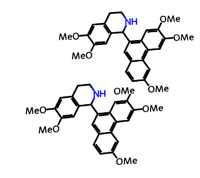 COc1ccc2cc(C3NCCc4cc(OC)c(OC)cc43)c3cc(OC)c(OC)cc3c2c1.COc1ccc2cc(C3NCCc4cc(OC)c(OC)cc43)c3cc(OC)c(OC)cc3c2c1